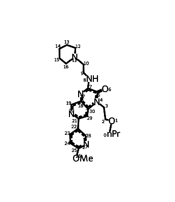 CCCOCCn1c(=O)c(NCCN2CCCCC2)nc2cnc(-c3ccc(OC)nc3)cc21